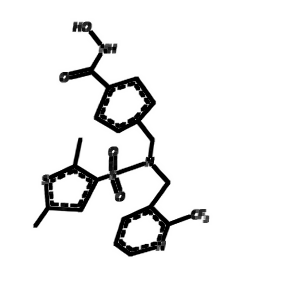 Cc1cc(S(=O)(=O)N(Cc2ccc(C(=O)NO)cc2)Cc2cccnc2C(F)(F)F)c(C)s1